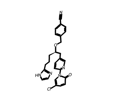 N#Cc1ccc(CO[C@H](CCCc2ncc[nH]2)Cc2ccc(-n3cc(Cl)ccc3=O)nc2)cc1